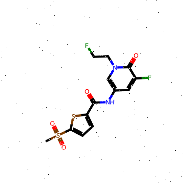 CS(=O)(=O)c1ccc(C(=O)Nc2cc(F)c(=O)n(CCF)c2)s1